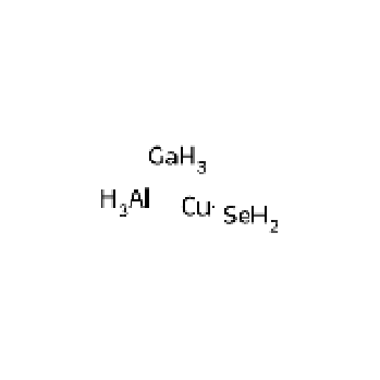 [AlH3].[Cu].[GaH3].[SeH2]